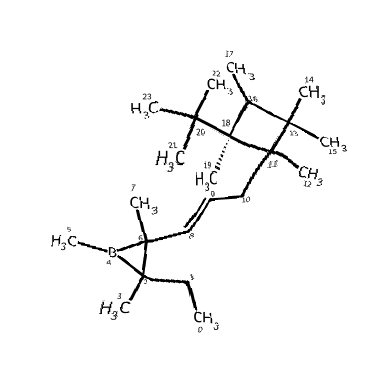 CCC1(C)B(C)C1(C)/C=C/CC1(C)C(C)(C)C(C)[C@]1(C)C(C)(C)C